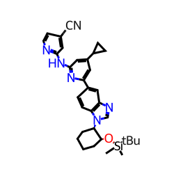 CC(C)(C)[Si](C)(C)O[C@@H]1CCCC[C@H]1n1cnc2cc(-c3cc(C4CC4)cc(Nc4cc(C#N)ccn4)n3)ccc21